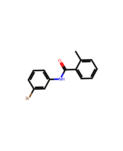 Cc1ccccc1C(=O)Nc1cccc(Br)c1